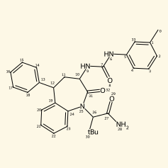 Cc1cccc(NC(=O)NC2CC(c3ccccc3)c3ccccc3N(C(C(N)=O)C(C)(C)C)C2=O)c1